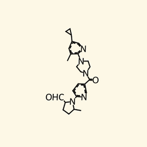 Cc1cc(C2CC2)cnc1N1CCN(C(=O)c2ccc(N3C(C)CCC3C=O)nc2)CC1